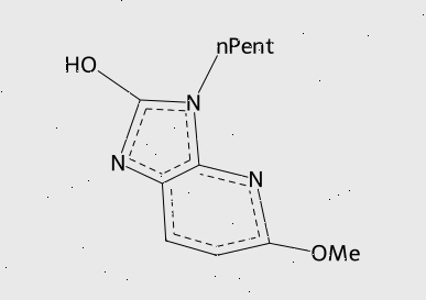 CCCCCn1c(O)nc2ccc(OC)nc21